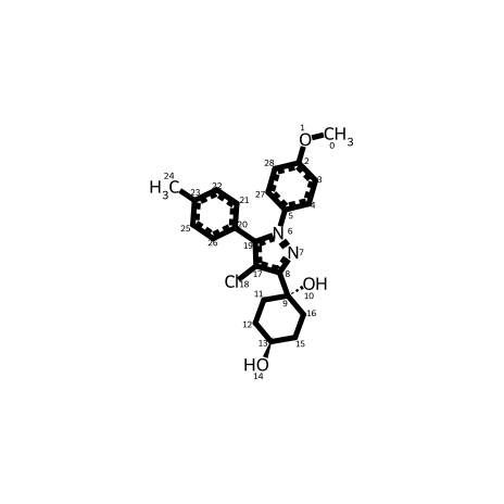 COc1ccc(-n2nc([C@]3(O)CC[C@H](O)CC3)c(Cl)c2-c2ccc(C)cc2)cc1